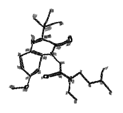 CCN(CCC(C)C)C(=O)Cn1c(=O)c(C(C)(C)C)nc2ccc(OC)cc21